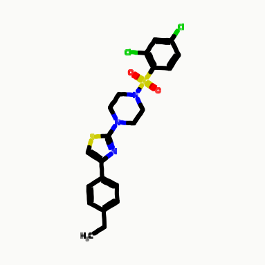 CCc1ccc(-c2csc(N3CCN(S(=O)(=O)c4ccc(Cl)cc4Cl)CC3)n2)cc1